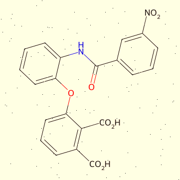 O=C(Nc1ccccc1Oc1cccc(C(=O)O)c1C(=O)O)c1cccc([N+](=O)[O-])c1